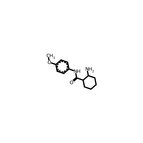 COc1ccc(NC(=O)C2CCCCC2N)cc1